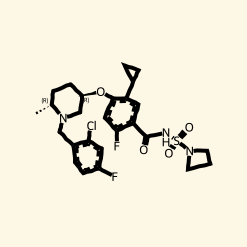 C[C@@H]1CC[C@@H](Oc2cc(F)c(C(=O)NS(=O)(=O)N3CCC3)cc2C2CC2)CN1Cc1ccc(F)cc1Cl